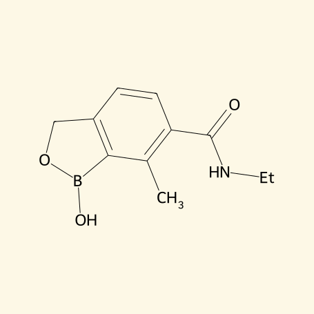 CCNC(=O)c1ccc2c(c1C)B(O)OC2